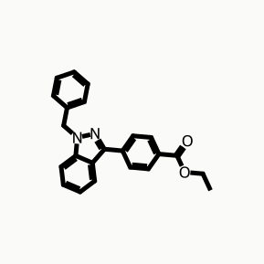 CCOC(=O)c1ccc(-c2nn(Cc3ccccc3)c3ccccc23)cc1